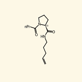 C=CCCCNC(=O)[C@@H]1CCCN1C(=O)CCC